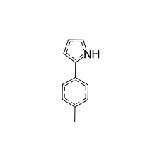 Cc1ccc(-c2ccc[nH]2)cc1